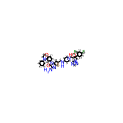 Nc1nc2sc(CNC3CCN(CC[C@@](O)(Cn4cncn4)c4ccc(F)cc4F)CC3)cc2n(-c2ccc3c(c2)N(c2ccccc2)CCO3)c1=O